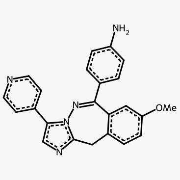 COc1ccc2c(c1)C(c1ccc(N)cc1)=Nn1c(-c3ccncc3)cnc1C2